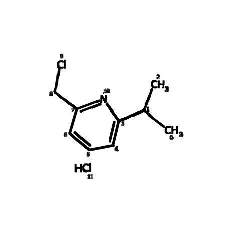 CC(C)c1cccc(CCl)n1.Cl